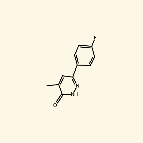 Cc1cc(-c2ccc(F)cc2)n[nH]c1=O